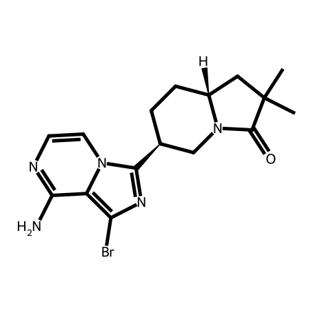 CC1(C)C[C@H]2CC[C@H](c3nc(Br)c4c(N)nccn34)CN2C1=O